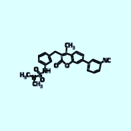 [C-]#[N+]c1cccc(-c2ccc3c(C)c(Cc4cccc(NS(=O)(=O)N(C)C)c4)c(=O)oc3c2)c1